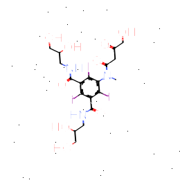 CN(C(=O)CC(=O)CO)c1c(I)c(C(=O)NCC(O)CO)c(I)c(C(=O)NCC(O)CO)c1I